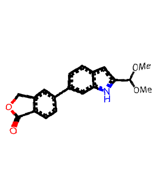 COC(OC)c1cc2ccc(-c3ccc4c(c3)COC4=O)cc2[nH]1